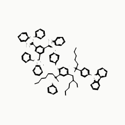 CCCCCCC(C)(Oc1ccccc1)c1cc(CC(CC)CCCC)c(OC(C)(CCCCC)c2ccc(-n3c4ccccc4c4ccccc43)cc2)cc1Oc1ccc(-n2c(-c3cc(-c4nc5ccccc5n4-c4ccccc4)cc(-c4nc5ccccc5n4-c4ccccc4)c3)nc3ccccc32)cc1